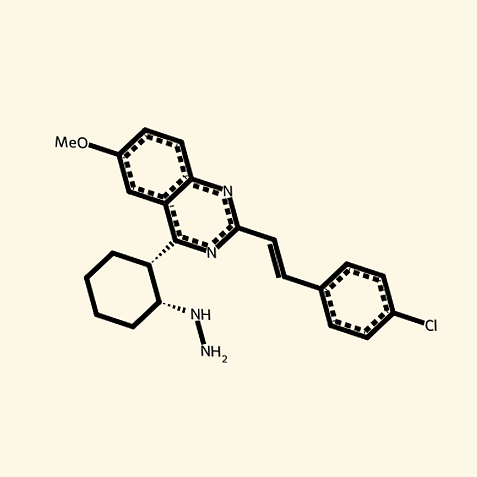 COc1ccc2nc(C=Cc3ccc(Cl)cc3)nc([C@H]3CCCC[C@H]3NN)c2c1